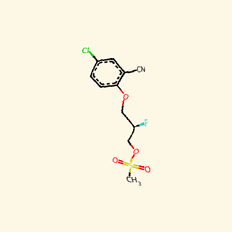 CS(=O)(=O)OC[C@H](F)COc1ccc(Cl)cc1C#N